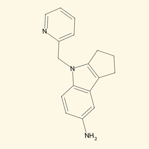 Nc1ccc2c(c1)c1c(n2Cc2ccccn2)CCC1